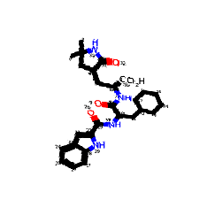 CC1(C)CC(CC(NC(=O)C(CC2CCCCC2)NC(=O)c2cc3ccccc3[nH]2)C(=O)O)C(=O)N1